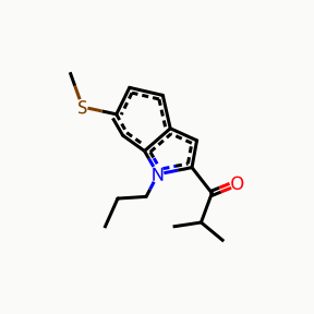 CCCn1c(C(=O)C(C)C)cc2ccc(SC)cc21